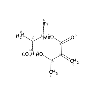 C=C(C(=O)OC)C(C)O.CC(C)CC(N)C(=O)O